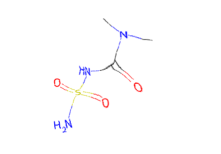 CN(C)C(=O)NS(N)(=O)=O